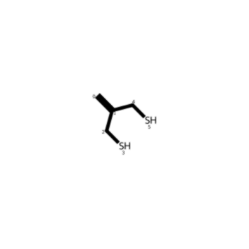 C=C(CS)CS